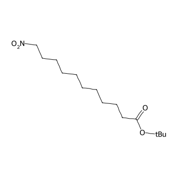 CC(C)(C)OC(=O)CCCCCCCCCC[N+](=O)[O-]